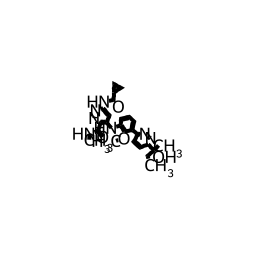 CCC(C)(O)c1ccc(-c2cccc(Nc3cc(NC(=O)C4CC4)nnc3C(=O)NC)c2OC)nn1